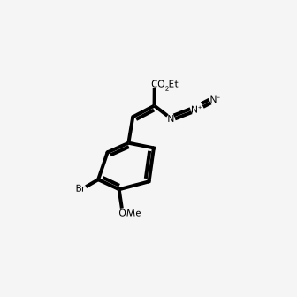 CCOC(=O)C(=Cc1ccc(OC)c(Br)c1)N=[N+]=[N-]